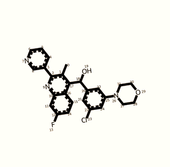 Cc1c(-c2cccnc2)nc2cc(F)ccc2c1C(O)c1cc(Cl)cc(N2CCOCC2)c1